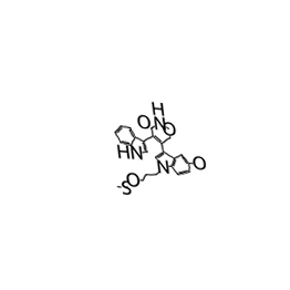 COc1ccc2c(c1)c(C1=C(c3c[nH]c4ccccc34)C(=O)NOC1)cn2CCCOSC